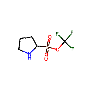 O=S(=O)(OC(F)(F)F)C1CCCN1